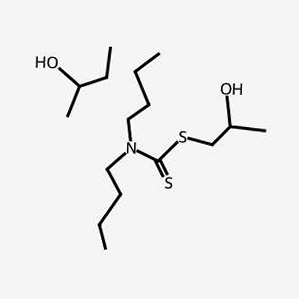 CCC(C)O.CCCCN(CCCC)C(=S)SCC(C)O